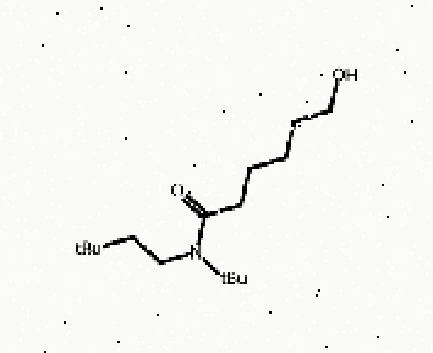 CC(C)(C)CCN(C(=O)CCCCCO)C(C)(C)C